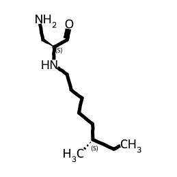 CC[C@H](C)CCCCCN[C@H](C=O)CN